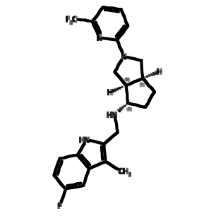 Cc1c(CN[C@H]2CC[C@@H]3CN(c4cccc(C(F)(F)F)n4)C[C@@H]32)[nH]c2ccc(F)cc12